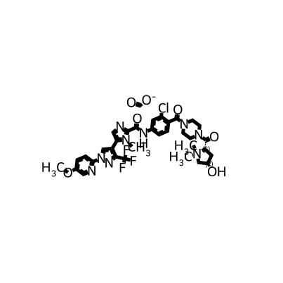 COc1ccc(-n2cc(-c3cnc(C(=O)Nc4ccc(C(=O)N5CCN(C(=O)[C@@H]6C[C@@H](O)C[N+]6(C)C)CC5)c(Cl)c4)n3C)c(C(F)(F)F)n2)nc1.O=C[O-]